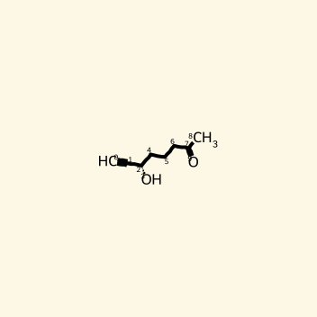 C#C[C@@H](O)CCCC(C)=O